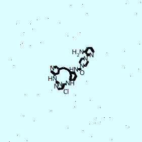 Nc1cccnc1N1CCN(C(=O)Nc2ccc3cc2CCC2C=NC=C(C2)Nc2ncc(Cl)c(n2)N3)CC1